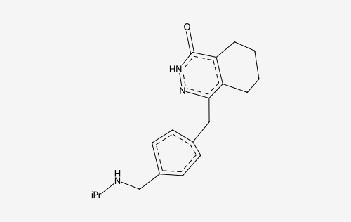 CC(C)NCc1ccc(Cc2n[nH]c(=O)c3c2CCCC3)cc1